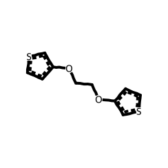 c1cc(OCCOc2ccsc2)cs1